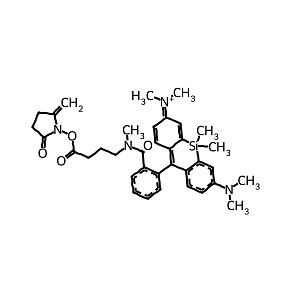 C=C1CCC(=O)N1OC(=O)CCCN(C)C(=O)c1ccccc1C1=C2C=CC(=[N+](C)C)C=C2[Si](C)(C)c2cc(N(C)C)ccc21